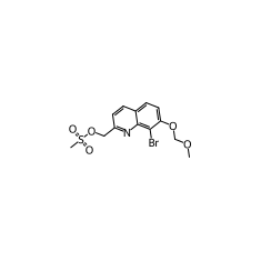 COCOc1ccc2ccc(COS(C)(=O)=O)nc2c1Br